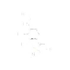 CCNc1ccc(N(CC)S(N)(=O)=O)c(C)c1C